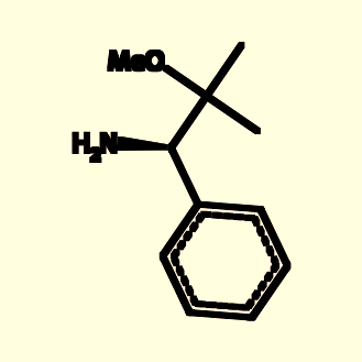 COC(C)(C)[C@H](N)c1ccccc1